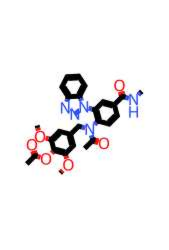 CNC(=O)c1ccc(N(Cc2cc(OC)c(OC(C)=O)c(OC)c2)C(C)=O)c(-n2nnc3ccccc32)c1